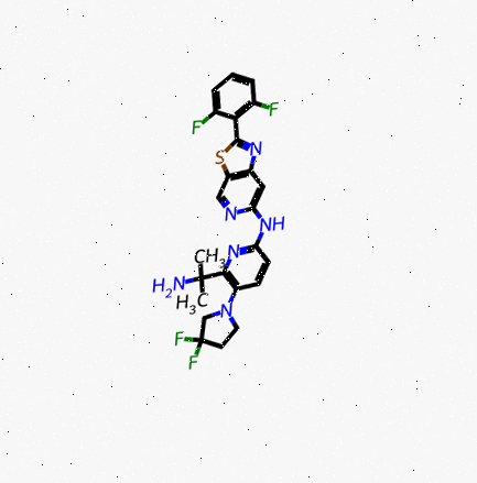 CC(C)(N)c1nc(Nc2cc3nc(-c4c(F)cccc4F)sc3cn2)ccc1N1CCC(F)(F)C1